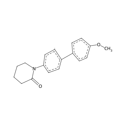 COc1ccc(-c2[c]cc(N3CCCCC3=O)cc2)cc1